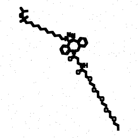 CCCOCCOCCOCCOCCOCCC(=O)NCCC(=O)N1Cc2ccccc2-c2nnn(CCCCCCCCCCC[Si](C)(C)OC(C)C)c2-c2ccccc21